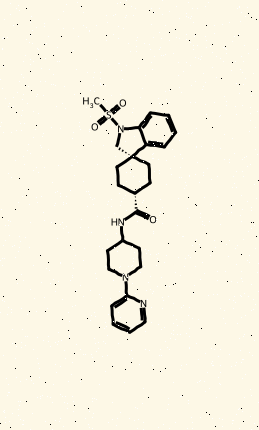 CS(=O)(=O)N1C[C@]2(CC[C@@H](C(=O)NC3CCN(c4ccccn4)CC3)CC2)c2ccccc21